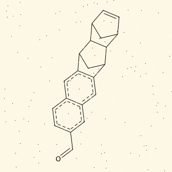 O=Cc1ccc2cc3c(cc2c1)C1CC3C2C3C=CC(C3)C12